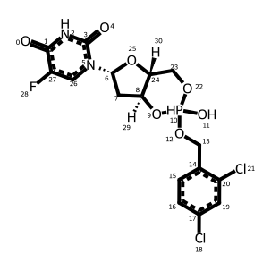 O=c1[nH]c(=O)n([C@H]2C[C@@H]3O[PH](O)(OCc4ccc(Cl)cc4Cl)OC[C@H]3O2)cc1F